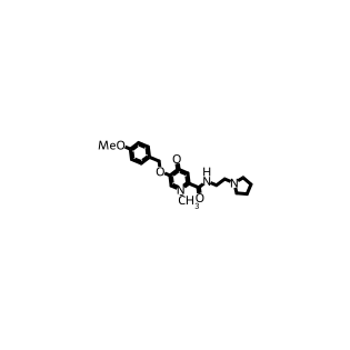 COc1ccc(COc2cn(C)c(C(=O)NCCN3CCCC3)cc2=O)cc1